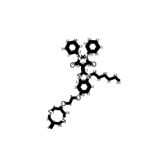 C=C1CSCC(OCCOc2ccc3c(c2)SC(=C2C(=O)N(c4ccccc4)N(c4ccccc4)C2=O)N3CCCCCC)CSC1